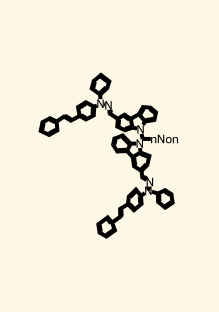 CCCCCCCCCC(n1c2ccccc2c2cc(/C=N/N(c3ccccc3)c3ccc(/C=C/c4ccccc4)cc3)ccc21)n1c2ccccc2c2cc(/C=N/N(c3ccccc3)c3ccc(/C=C/c4ccccc4)cc3)ccc21